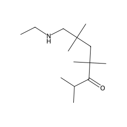 CCNCC(C)(C)CC(C)(C)C(=O)C(C)C